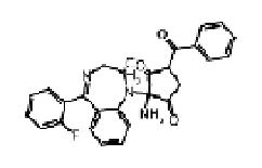 CC1CN=C(c2ccccc2F)c2ccccc2N1C1(N)C(=O)CC(C(=O)c2ccccc2)C1=O